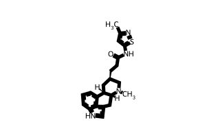 Cc1cc(NC(=O)CC[C@@H]2C[C@@H]3c4cccc5[nH]cc(c45)C[C@H]3N(C)C2)sn1